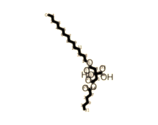 CCCCCCCCCCCCCCCOC(=O)CC(O)(CC(=O)OC(=O)CCCCC)C(=O)O